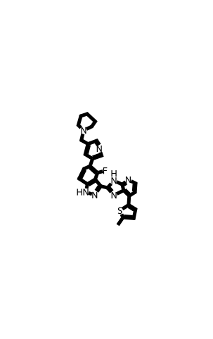 Cc1ccc(-c2ccnc3[nH]c(-c4n[nH]c5ccc(-c6cncc(CN7CCCCC7)c6)c(F)c45)nc23)s1